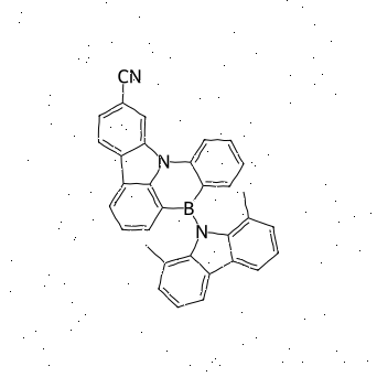 Cc1cccc2c3cccc(C)c3n(B3c4ccccc4-n4c5cc(C#N)ccc5c5cccc3c54)c12